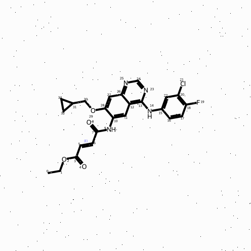 CCOC(=O)/C=C/C(=O)Nc1cc2c(Nc3ccc(F)c(Cl)c3)ncnc2cc1OCC1CC1